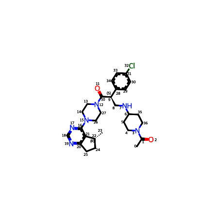 CC(=O)N1CCC(NC[C@@H](C(=O)N2CCN(c3ncnc4c3[C@H](C)CC4)CC2)c2ccc(Cl)cc2)CC1